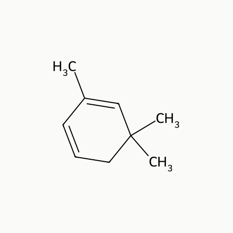 CC1=CC(C)(C)CC=C1